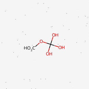 O=C(O)OC(O)(O)O